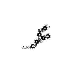 CC(=O)NC1CCN(Cc2cccc(C(=O)Nc3ccc(N4CCCCC4)cc3-c3cc(C(=O)NCc4cccc(C(F)(F)F)c4)ccn3)c2)CC1